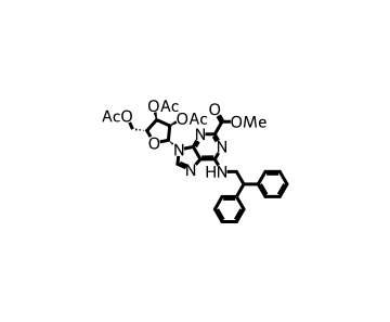 COC(=O)c1nc(NCC(c2ccccc2)c2ccccc2)c2ncn([C@@H]3O[C@H](COC(C)=O)[C@@H](OC(C)=O)[C@H]3OC(C)=O)c2n1